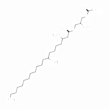 CCCCCCCCCCCCC(O)CCCCC(O)CC(=O)OCC(O)COC(C)=O